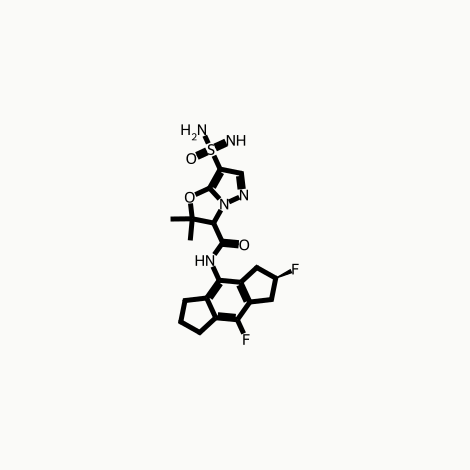 CC1(C)Oc2c(S(=N)(N)=O)cnn2C1C(=O)Nc1c2c(c(F)c3c1C[C@@H](F)C3)CCC2